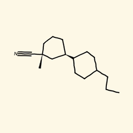 CCCC1CCC([C@@H]2CCC[C@@](C)(C#N)C2)CC1